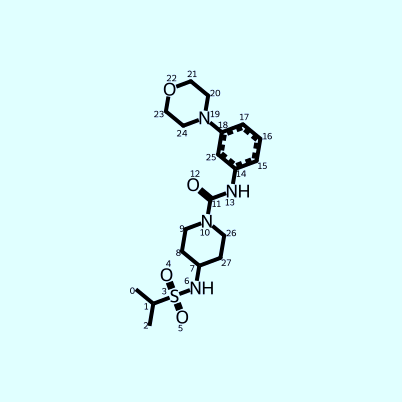 CC(C)S(=O)(=O)NC1CCN(C(=O)Nc2cccc(N3CCOCC3)c2)CC1